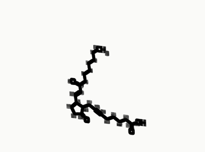 CCCCCCCC(=O)/C=C/C1CCC(=O)C1CC#CCCCCC(=O)O